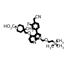 CC1(COc2ccnc3c2c(-c2ccc(CC#N)c(F)c2)cn3COCC[Si](C)(C)C)CCN(C(=O)O)CC1